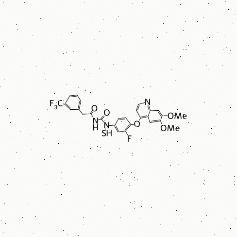 COc1cc2nccc(Oc3ccc(N(S)C(=O)NC(=O)Cc4cccc(C(F)(F)F)c4)cc3F)c2cc1OC